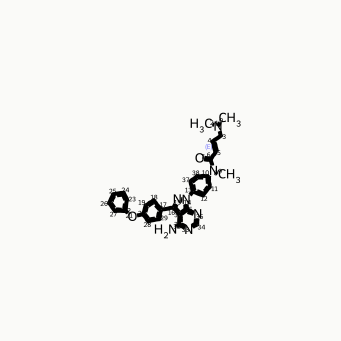 CN(C)C/C=C/C(=O)N(C)c1ccc(-n2nc(-c3ccc(Oc4ccccc4)cc3)c3c(N)ncnc32)cc1